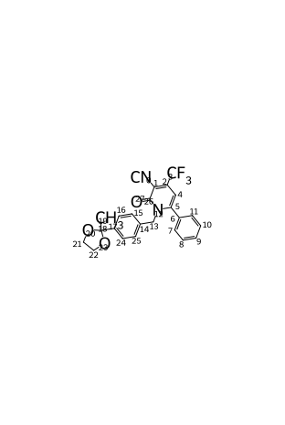 [C-]#[N+]c1c(C(F)(F)F)cc(-c2ccccc2)n(Cc2ccc(C3(C)OCCO3)cc2)c1=O